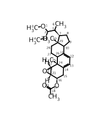 COC(OC)C(C)[C@H]1CCC2C3=CC=C4C[C@@H](OC(C)=O)[C@@H]5O[C@@H]5[C@]4(C)C3CC[C@@]21C